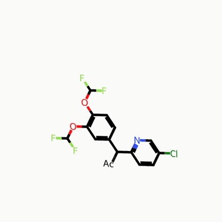 CC(=O)C(c1ccc(OC(F)F)c(OC(F)F)c1)c1ccc(Cl)cn1